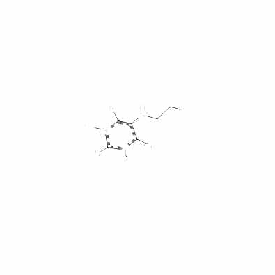 Nc1c(NCCO)c(N)[n+]([O-])c(N)[n+]1[O-]